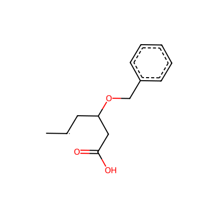 C[CH]CC(CC(=O)O)OCc1ccccc1